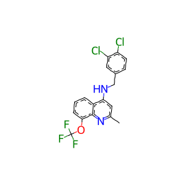 Cc1cc(NCc2ccc(Cl)c(Cl)c2)c2cccc(OC(F)(F)F)c2n1